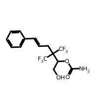 NC(=O)OC(CO)C(CC=Cc1ccccc1)(C(F)(F)F)C(F)(F)F